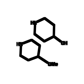 COC1CCNCC1.OC1CCNCC1